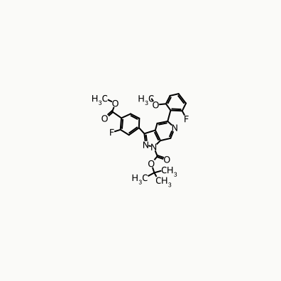 COC(=O)c1ccc(-c2nn(C(=O)OC(C)(C)C)c3cnc(-c4c(F)cccc4OC)cc23)cc1F